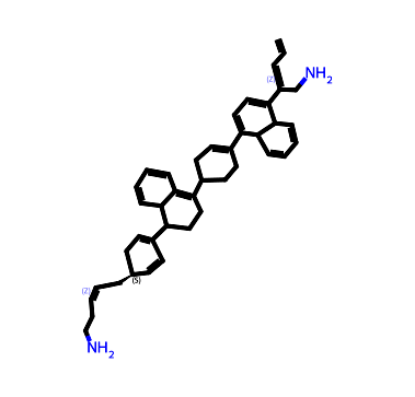 C=C/C=C(\CN)C1=CC=C(C2=CCC(C3=C4C=CC=CC4C(C4=CC[C@H](C/C=C\CCN)C=C4)CC3)CC2)C2C=CC=CC12